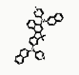 CC1(C)c2cc(N(c3ccncc3)c3ccc4ccccc4c3)ccc2-c2c1cc(N(c1ccncc1)c1ccc3ccccc3c1)c1ccccc21